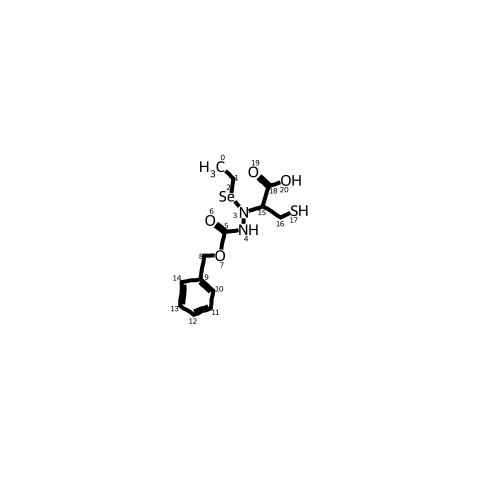 CC[Se]N(NC(=O)OCc1ccccc1)C(CS)C(=O)O